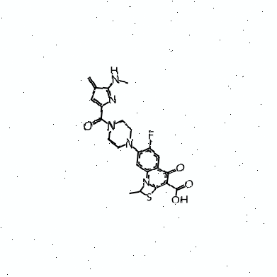 C=C1C=C(C(=O)N2CCN(c3cc4c(cc3F)c(=O)c(C(=O)O)c3n4C(C)S3)CC2)N=C1NC